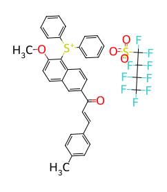 COc1ccc2cc(C(=O)C=Cc3ccc(C)cc3)ccc2c1[S+](c1ccccc1)c1ccccc1.O=S(=O)([O-])C(F)(F)C(F)(F)C(F)(F)C(F)(F)F